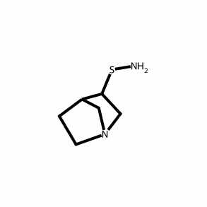 NSC1CN2CCC1C2